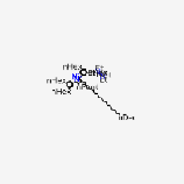 CCCCCCCCCCCCCCCCCCCCCCCCCC=CC1=C(c2cc(CCCCCC)cc(CCCCCC)c2)[N+](=[N-])C(c2cc(CCCCCC)cc(CCCCCC)c2)=C1CCCCC.CC[N](CC)[Ni][N](CC)CC